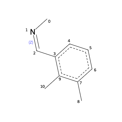 C/N=C\c1cccc(C)c1C